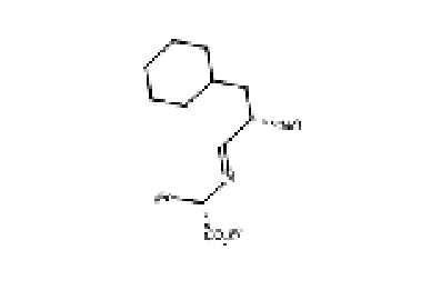 CCOC(=O)[C@@H](N=C[C@H](CC1CCCCC1)N=O)C(C)C